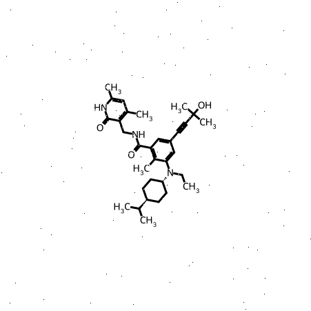 CCN(c1cc(C#CC(C)(C)O)cc(C(=O)NCc2c(C)cc(C)[nH]c2=O)c1C)[C@H]1CC[C@H](C(C)C)CC1